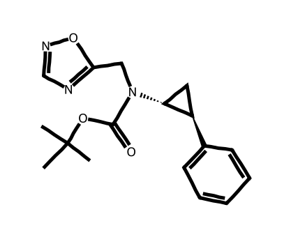 CC(C)(C)OC(=O)N(Cc1ncno1)[C@@H]1C[C@H]1c1ccccc1